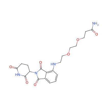 NC(=O)CCOCCOCCNc1cccc2c1C(=O)N(C1CCC(=O)NC1=O)C2=O